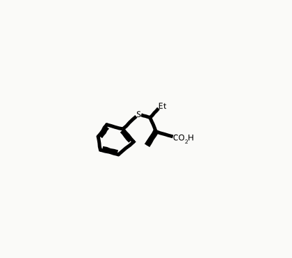 C=C(C(=O)O)C(CC)Sc1ccccc1